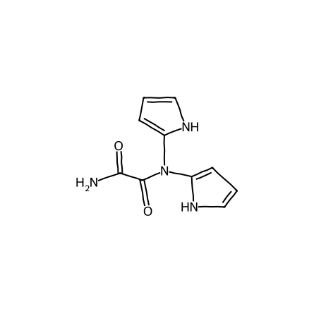 NC(=O)C(=O)N(c1ccc[nH]1)c1ccc[nH]1